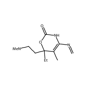 C=NC1=C(C)C(CC)(CCNC)OC(=O)N1